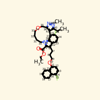 CCOC(=O)c1c(CCCOc2ccc(F)c3ccccc23)c2ccc(F)c3c2n1CCCCOCc1nn(C)c(CC)c1-3